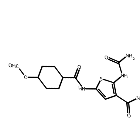 NC(=O)Nc1sc(NC(=O)C2CCC(OC=O)CC2)cc1C(N)=O